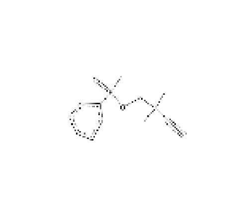 C#CC(C)(C)COP(C)(=O)c1ccccc1